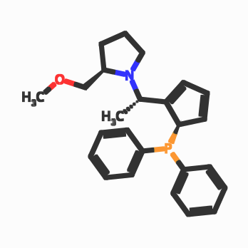 COC[C@H]1CCCN1[C@@H](C)C1=CC=C[C@H]1P(c1ccccc1)c1ccccc1